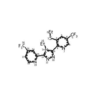 CCSc1cc(C(F)(F)F)cnc1-c1nnc(-c2cc(C(F)(F)F)ccn2)n1CC